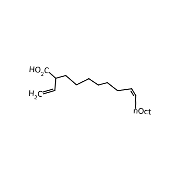 C=CC(CCCCCC/C=C\CCCCCCCC)C(=O)O